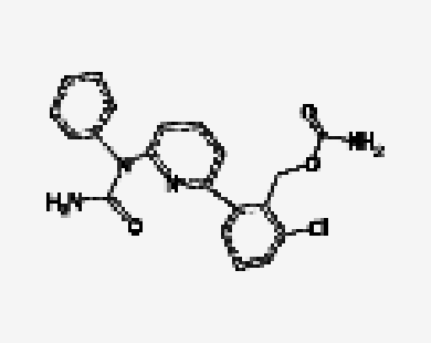 NC(=O)OCc1c(Cl)cccc1-c1cccc(N(C(N)=O)c2ccccc2)n1